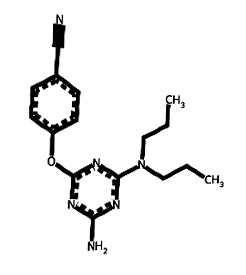 CCCN(CCC)c1nc(N)nc(Oc2ccc(C#N)cc2)n1